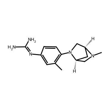 Cc1cc(N=C(N)N)ccc1N1C[C@@H]2C[C@H]1CN2C